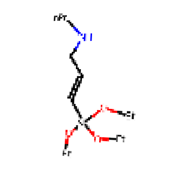 CCCNCC=C[Si](OCC)(OCC)OCC